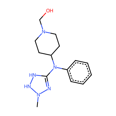 CN1N=C(N(c2ccccc2)C2CCN(CO)CC2)NN1